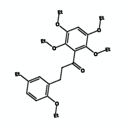 CCOc1ccc(CC)cc1CCC(=O)c1c(OCC)c(OCC)cc(OCC)c1OCC